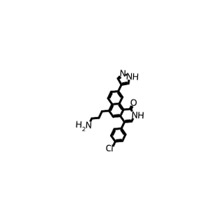 NCCCc1cc2c(-c3ccc(Cl)cc3)c[nH]c(=O)c2c2cc(-c3cn[nH]c3)ccc12